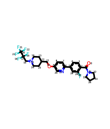 O=C(c1ccc(-c2ccc(OCC3CCN(CC(F)(F)C(F)(F)F)CC3)cn2)cc1F)N1CCCC1